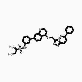 C=C(CO)S(=O)(=O)Nc1cccc(-c2ccc3c(OCc4nnc5ccc(-c6ccccc6)nn45)ccnc3c2)c1